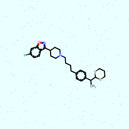 CC(c1ccc(CCCCN2CCC(c3noc4cc(F)ccc34)CC2)cc1)C1SCCCS1